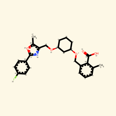 Cc1cccc(CO[C@@H]2CCC[C@H](OCc3nc(-c4ccc(F)cc4)oc3C)C2)c1C(=O)O